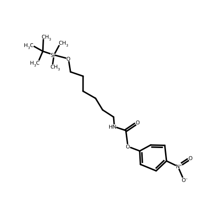 CC(C)(C)[Si](C)(C)OCCCCCCNC(=O)Oc1ccc([N+](=O)[O-])cc1